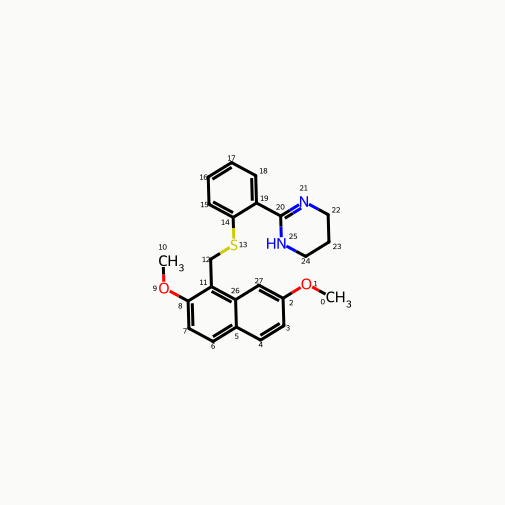 COc1ccc2ccc(OC)c(CSc3ccccc3C3=NCCCN3)c2c1